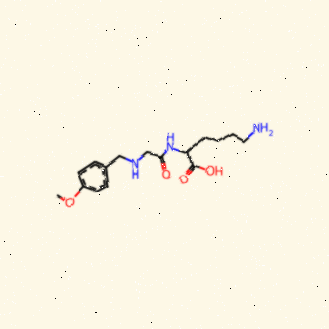 COc1ccc(CNCC(=O)NC(CCCCN)C(=O)O)cc1